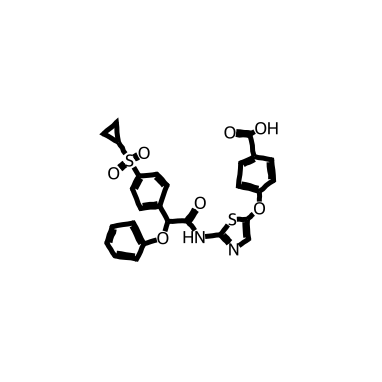 O=C(O)c1ccc(Oc2cnc(NC(=O)C(Oc3ccccc3)c3ccc(S(=O)(=O)C4CC4)cc3)s2)cc1